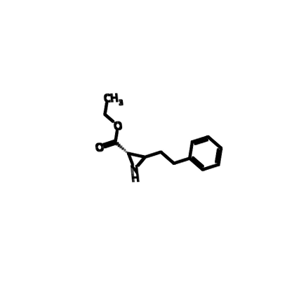 CCOC(=O)[C@H]1NC1CCc1ccccc1